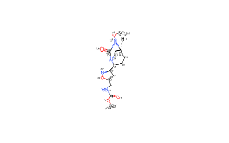 CC(C)(C)OC(=O)NCc1cc([C@@H]2CC[C@H]3CN2C(=O)N3OS(=O)(=O)O)no1